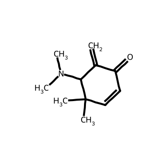 C=C1C(=O)C=CC(C)(C)C1N(C)C